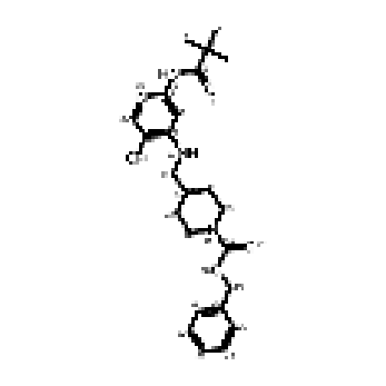 CC(C)(C)C(=O)Nc1cc(NCC2CCN(C(=O)OCc3ccccc3)CC2)c(Cl)cn1